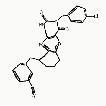 N#Cc1cccc(CC2CCCc3nc4c(=O)n(Cc5ccc(Cl)cc5)c(=O)[nH]c4nc32)c1